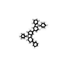 C1=CCCC(C2=CC3C4C=C(C5C=CC6C(C5)C5=C(CCC=C5)N6C5C=CC=CC5)CCC4N(C4=CCCC=C4)C3CC2)=C1